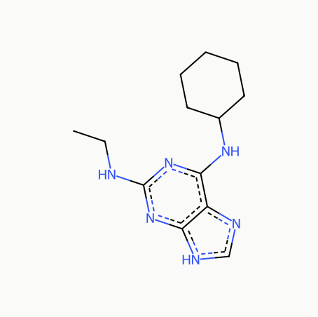 CCNc1nc(NC2CCCCC2)c2nc[nH]c2n1